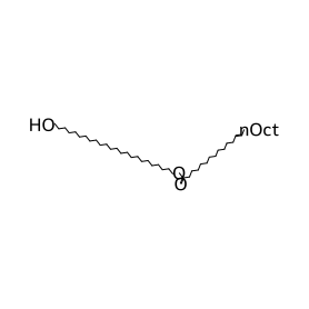 CCCCCCCCC=CCCCCCCCCCCCC(=O)OCCCCCCCCCCCCCCCCCCCCCCCCO